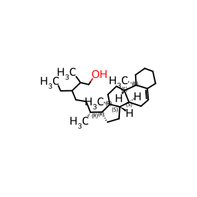 CCC(CC[C@@H](C)[C@H]1CC[C@H]2[C@@H]3CC=C4CCCC[C@]4(C)[C@H]3CC[C@]12C)C(C)CO